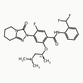 C[C@@H](CN(C)C)Oc1cc(-n2nc3n(c2=O)CCCC3)c(F)cc1C(=O)Nc1ccccc1C(F)F